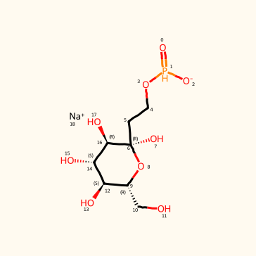 O=[PH]([O-])OCC[C@@]1(O)O[C@H](CO)[C@@H](O)[C@H](O)[C@H]1O.[Na+]